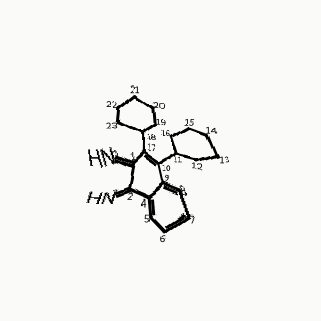 N=C1C(=N)c2ccccc2C(C2CCCCC2)=C1C1CCCCC1